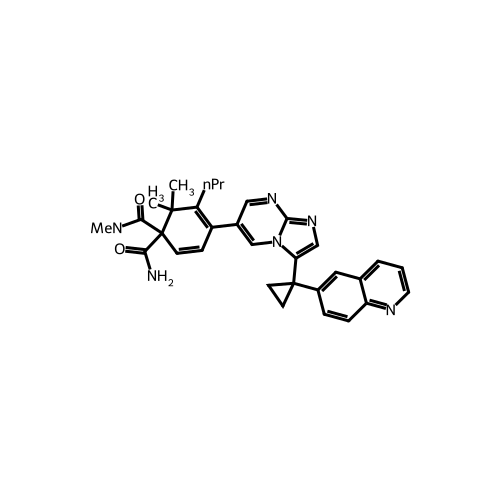 CCCC1=C(c2cnc3ncc(C4(c5ccc6ncccc6c5)CC4)n3c2)C=CC(C(N)=O)(C(=O)NC)C1(C)C